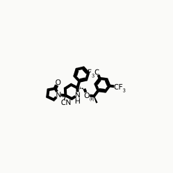 C[C@@H](OC[C@@]1(c2ccccc2)CC[C@](C#N)(N2CCCC2=O)CN1)c1cc(C(F)(F)F)cc(C(F)(F)F)c1